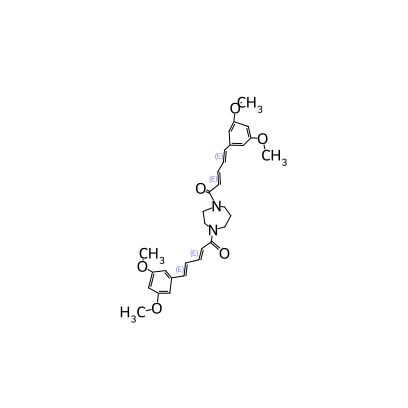 COc1cc(/C=C/C=C/C(=O)N2CCCN(C(=O)/C=C/C=C/c3cc(OC)cc(OC)c3)CC2)cc(OC)c1